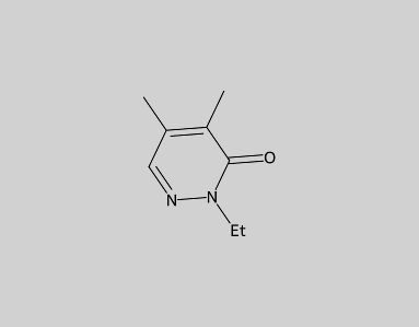 CCn1ncc(C)c(C)c1=O